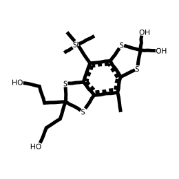 Cc1c2c(c([Si](C)(C)C)c3c1SC(CCO)(CCO)S3)SC(O)(O)S2